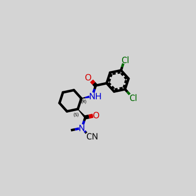 CN(C#N)C(=O)[C@H]1CCCC[C@H]1NC(=O)c1cc(Cl)cc(Cl)c1